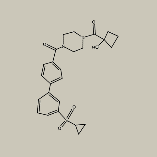 O=C(c1ccc(-c2cccc(S(=O)(=O)C3CC3)c2)cc1)N1CCN(C(=O)C2(O)CCC2)CC1